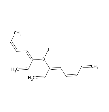 C=C/C=C\C=C(/C=C)B(I)/C(C=C)=C/C=C\C